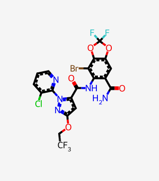 NC(=O)c1cc2c(c(Br)c1NC(=O)c1cc(OCC(F)(F)F)nn1-c1ncccc1Cl)OC(F)(F)O2